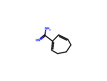 N=C(N)C1=CCCCC=C1